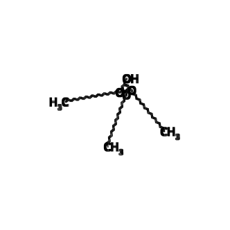 CCCCCCCCCCCCCCCCCCOc1cc(CO)cc(OCCCCCCCCCCCCCCCCC)c1OCCCCCCCCCCCCCCCCCC